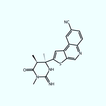 C[C@@H]1C(=O)N(C)C(=N)N[C@]1(C)c1cc2c(cnc3ccc(C#N)cc32)s1